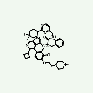 Cc1c(-c2c(C3CCC3)ncc3snc(O[C@H](Cc4ccccc4OCc4ccnc(C5CCC(F)(F)CC5)n4)C(=O)O)c23)ccc(OCCN2CCN(C)CC2)c1Cl